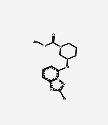 CC(C)(C)OC(=O)N1CCCC(Nc2cccc3nc(Br)nn23)C1